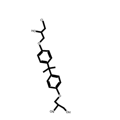 CC(C)(c1ccc(OCC(O)CCl)cc1)c1ccc(OCC(CO)N=O)cc1